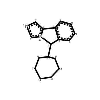 c1ccc2c(c1)-c1cncn1C2C1CCCCCC1